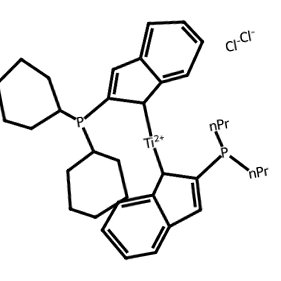 CCCP(CCC)C1=Cc2ccccc2[CH]1[Ti+2][CH]1C(P(C2CCCCC2)C2CCCCC2)=Cc2ccccc21.[Cl-].[Cl-]